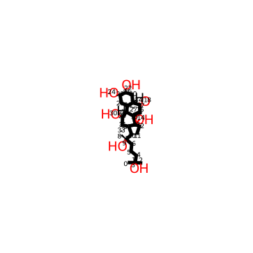 CC(C)(O)CCC[C@](C)(O)[C@H]1CC[C@@]2(O)C3=CC(=O)[C@@H]4C[C@@H](O)[C@@H](O)C[C@]4(C)[C@H]3[C@H](O)C[C@]12C